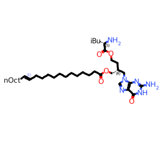 CCCCCCCC/C=C/CCCCCCCCCCCC(=O)OC[C@H](CCOC(=O)[C@@H](N)C(C)CC)Cn1cnc2c(=O)[nH]c(N)nc21